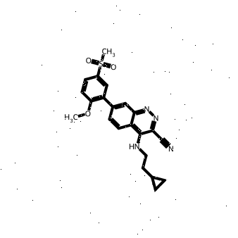 COc1ccc(S(C)(=O)=O)cc1-c1ccc2c(NCCC3CC3)c(C#N)nnc2c1